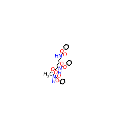 CC(NC(=O)Oc1ccccc1)OC(=O)C(CCCCNC(=O)Oc1ccccc1)NC(=O)Oc1ccccc1